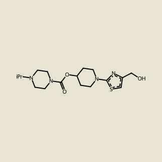 CC(C)N1CCN(C(=O)OC2CCN(c3nc(CO)cs3)CC2)CC1